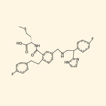 CSCC[C@H](NC(=O)c1cc(CNCC(c2ccc(F)cc2)c2ncc[nH]2)ccc1CCc1ccc(F)cc1)C(=O)O